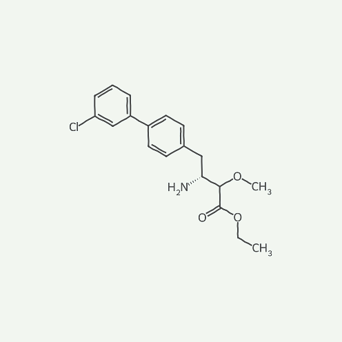 CCOC(=O)C(OC)[C@H](N)Cc1ccc(-c2cccc(Cl)c2)cc1